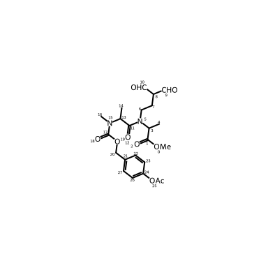 COC(=O)C(C)N(CCC(C=O)C=O)C(=O)C(C)N(C)C(=O)OCc1ccc(OC(C)=O)cc1